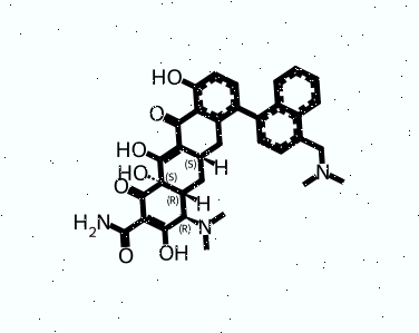 CN(C)Cc1ccc(-c2ccc(O)c3c2C[C@@H]2C[C@@H]4[C@@H](N(C)C)C(O)=C(C(N)=O)C(=O)[C@@]4(O)C(O)=C2C3=O)c2ccccc12